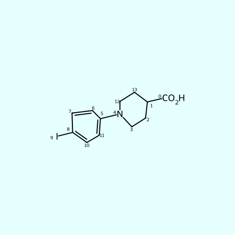 O=C(O)C1CCN(c2ccc(I)cc2)CC1